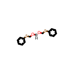 B(OCSc1ccccc1)OCSc1ccccc1